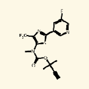 C#CC(C)(C)OC(=O)N(C)c1sc(-c2cncc(F)c2)nc1C(F)(F)F